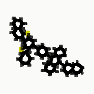 c1ccc2cc(-c3c4ccccc4c(-c4ccc(-c5cc6sc7c8ccccc8ccc7c6c6sc7ccccc7c56)cc4)c4ccccc34)ccc2c1